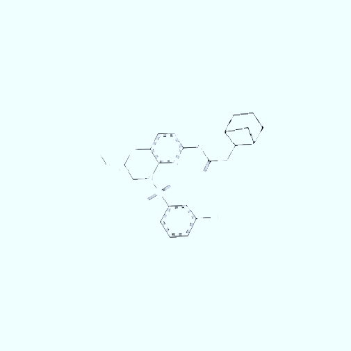 C[C@H](C(=O)Nc1ccc2c(n1)N(S(=O)(=O)c1cccc(Cl)c1)C[C@H](CO)O2)C1C2CCCC1C2